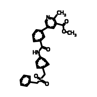 COC(=O)c1cc(-c2cccc(C(=O)Nc3ccc(CS(=O)(=O)Cc4ccccc4)cc3)c2)cnc1C